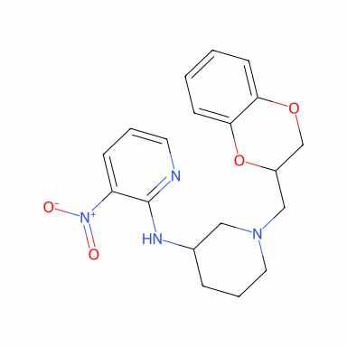 O=[N+]([O-])c1cccnc1NC1CCCN(CC2COc3ccccc3O2)C1